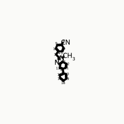 Cn1c(Cc2ccc(C#N)cc2)nc2cc(-c3ccccc3)ccc21